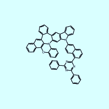 c1ccc(-c2nc(-c3ccccc3)nc(-c3cccc4cc(-n5c6ccccc6c6cc7c(cc65)N5c6ccccc6Oc6c5c(cc5ccccc65)-c5ccccc5-7)ccc34)n2)cc1